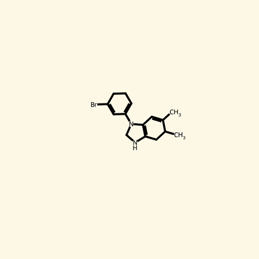 CC1=CC2=C(CC1C)NCN2C1=CCCC(Br)=C1